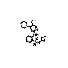 N#Cc1cnc(Nc2ccccc2S(=O)(=O)NC2COC2)nc1N1CCCCC1